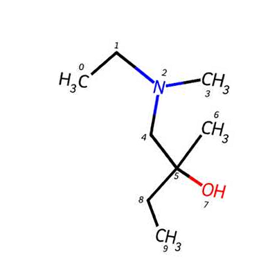 CCN(C)CC(C)(O)CC